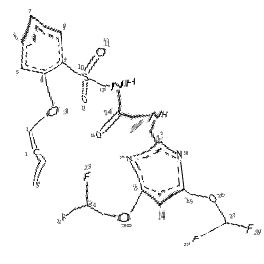 C=C=COc1ccccc1S(=O)(=O)NC(=O)Nc1nc(OC(F)F)cc(OC(F)F)n1